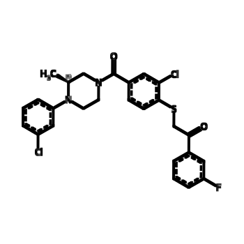 C[C@H]1CN(C(=O)c2ccc(SCC(=O)c3cccc(F)c3)c(Cl)c2)CCN1c1cccc(Cl)c1